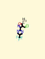 Cc1onc(-c2ncc(C(F)(F)F)cn2)c1CCl